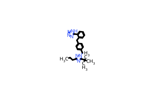 CCCc1nc(C(C)(C)C)n(Cc2ccc(Cc3ccccc3-c3nnn[nH]3)cc2)n1